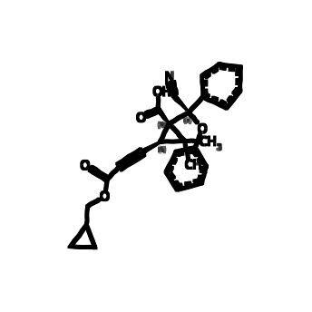 CC1(C)[C@@H](C#CC(=O)OCC2CC2)[C@]1(C(=O)O)[C@@](C#N)(Oc1ccccc1)c1ccccc1